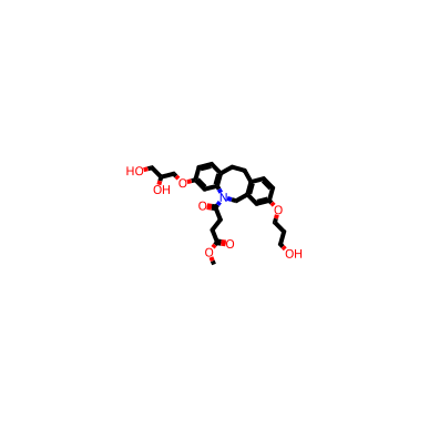 COC(=O)CCC(=O)N1Cc2cc(OCCCO)ccc2CCc2ccc(OCC(O)CO)cc21